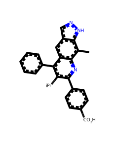 Cc1c2nc(-c3ccc(C(=O)O)cc3)c(C(C)C)c(-c3ccccc3)c2cc2cn[nH]c12